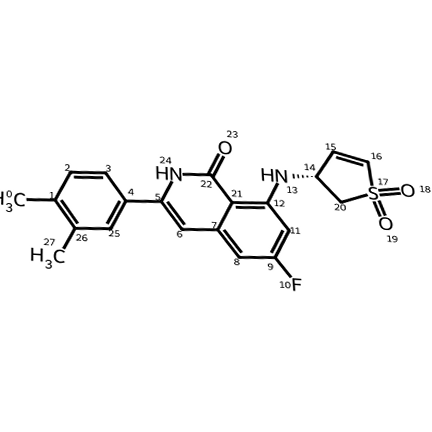 Cc1ccc(-c2cc3cc(F)cc(N[C@@H]4C=CS(=O)(=O)C4)c3c(=O)[nH]2)cc1C